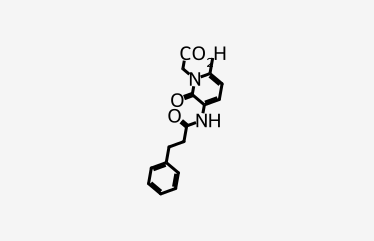 Cc1ccc(NC(=O)CCc2ccccc2)c(=O)n1CC(=O)O